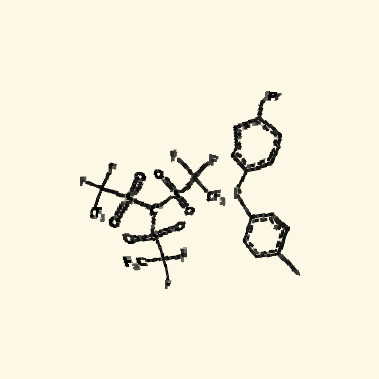 Cc1ccc([I+]c2ccc(C(C)C)cc2)cc1.O=S(=O)([C-](S(=O)(=O)C(F)(F)C(F)(F)F)S(=O)(=O)C(F)(F)C(F)(F)F)C(F)(F)C(F)(F)F